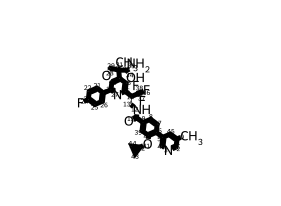 Cc1cncc(-c2ccc(C(=O)NC[C@H](c3cc4c(c(-c5ccc(F)cc5)n3)OC[C@]4(C)[C@H](N)O)C(F)(F)F)cc2OC2CC2)c1